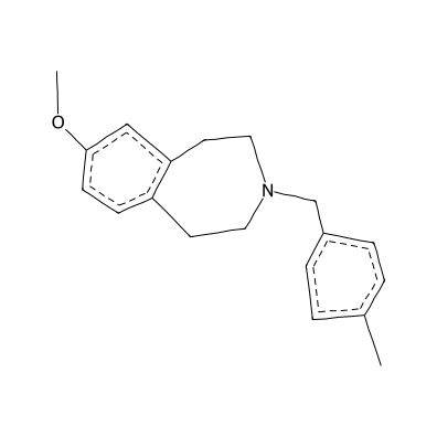 COc1ccc2c(c1)CCN(Cc1ccc(C)cc1)CC2